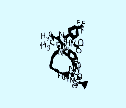 CC(C)c1csc(-c2ccc(C(F)(F)F)cc2NC(=O)O[C@@H]2C[C@H]3C(=O)N[C@]4(C(=O)NS(=O)(=O)C5CC5)C[C@H]4/C=C\CCCCN(C)C(=O)[C@@H]3C2)n1